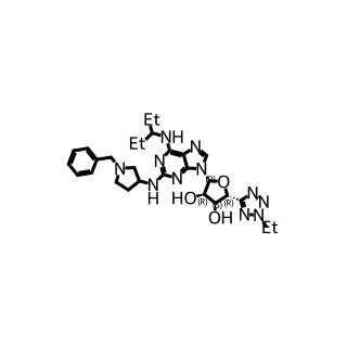 CCC(CC)Nc1nc(NC2CCN(Cc3ccccc3)C2)nc2c1ncn2[C@@H]1O[C@H](c2nnn(CC)n2)[C@@H](O)[C@H]1O